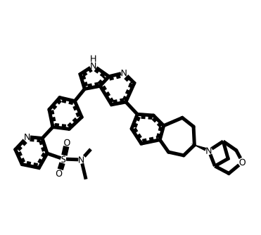 CN(C)S(=O)(=O)c1cccnc1-c1ccc(-c2c[nH]c3ncc(-c4ccc5c(c4)CC[C@@H](N4C6COCC4C6)CC5)cc23)cc1